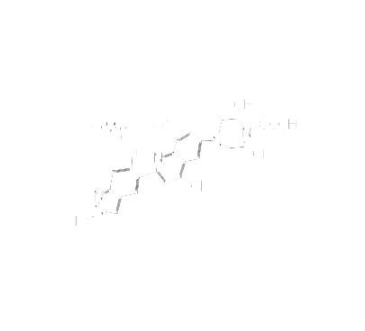 COCOc1c(-c2cc(Cl)c3cc(N4C[C@@H](C)N(C(=O)O)[C@@H](C)C4)cc(C)c3n2)cc2cn(C)nc2c1F